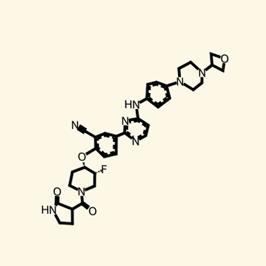 N#Cc1cc(-c2nccc(Nc3ccc(N4CCN(C5COC5)CC4)cc3)n2)ccc1O[C@H]1CCN(C(=O)C2CCNC2=O)C[C@H]1F